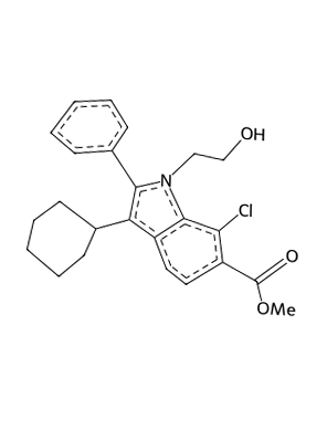 COC(=O)c1ccc2c(C3CCCCC3)c(-c3ccccc3)n(CCO)c2c1Cl